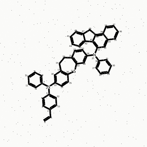 C=Cc1ccc(N(c2ccccc2)c2ccc3c(c2)CCc2ccc(N(c4ccccc4)c4cc5ccccc5c5c4-c4ccccc4C5)cc2S3)cc1